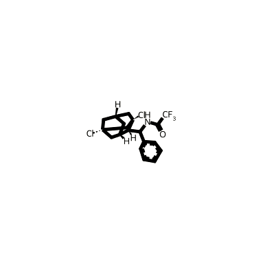 O=C(NC(c1ccccc1)[C@H]1[C@H]2C[C@@H]3C[C@](Cl)(C2)C[C@@]1(Cl)C3)C(F)(F)F